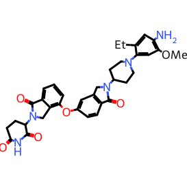 CCc1cc(N)c(OC)cc1N1CCC(N2Cc3cc(Oc4cccc5c4CN(C4CCC(=O)NC4=O)C5=O)ccc3C2=O)CC1